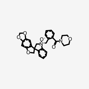 O=C(c1ccccc1C[N+]1([O-])CC2(COc3cc4c(cc32)OCO4)c2ccccc21)N1CCOCC1